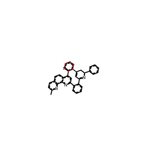 Cc1ccc2ccc3c(-c4ccccn4)cc(-c4ccccc4C4=NC(c5ccccc5)CC(c5ccccc5)=C4)nc3c2n1